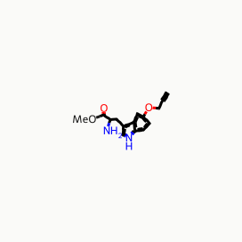 C#CCOc1ccc2[nH]cc(CC(N)C(=O)OC)c2c1